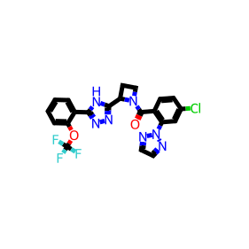 O=C(c1ccc(Cl)cc1-n1nccn1)N1CCC1c1nnc(-c2ccccc2OC(F)(F)F)[nH]1